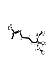 CCO[Si](CC)(CCCN=C(C)CC)OCC